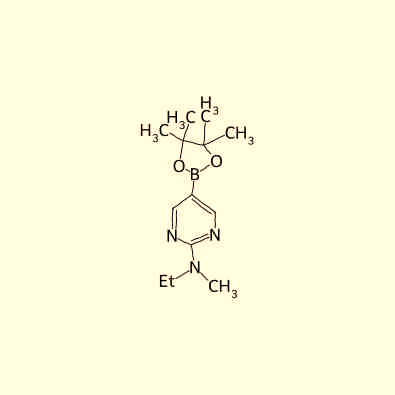 CCN(C)c1ncc(B2OC(C)(C)C(C)(C)O2)cn1